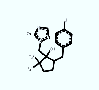 CC1(C)CCC(Cc2ccc(Cl)cc2)C1(O)Cn1cncn1.[Zn]